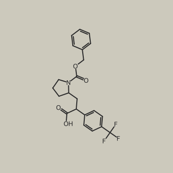 O=C(O)C(CC1CCCN1C(=O)OCc1ccccc1)c1ccc(C(F)(F)F)cc1